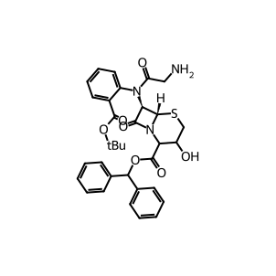 CC(C)(C)OC(=O)c1ccccc1N(C(=O)CN)[C@@H]1C(=O)N2C(C(=O)OC(c3ccccc3)c3ccccc3)C(O)CS[C@@H]12